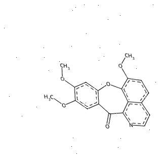 COc1cc2c(cc1OC)C(=O)c1nccc3ccc(OC)c(c13)O2